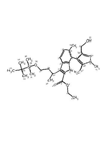 CCOC(=O)c1[nH]c2c(-c3c(CO)nn(C)c3C)c(C)ccc2c1C(C)CCO[Si](C)(C)C(C)(C)C